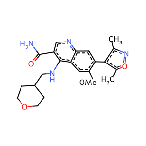 COc1cc2c(NCC3CCOCC3)c(C(N)=O)cnc2cc1-c1c(C)noc1C